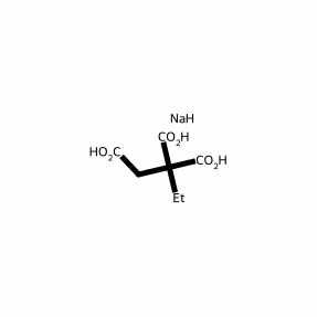 CCC(CC(=O)O)(C(=O)O)C(=O)O.[NaH]